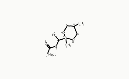 CCCCCCCC(=O)SC(CC)[Si]1(C)OCC(C)CO1